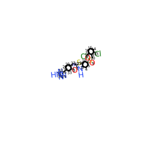 O=C1Nc2ccc(S(=O)(=O)Cc3c(Cl)cccc3Cl)cc2S/C1=C/c1ccc(-c2nn[nH]n2)cc1